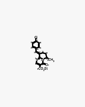 CCOC(=O)c1cnc2n(c1=O)C(C)CCC2=Cc1ccc(Cl)cc1